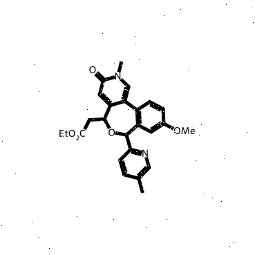 CCOC(=O)CC1OC(c2ccc(C)cn2)c2cc(OC)ccc2-c2cn(C)c(=O)cc21